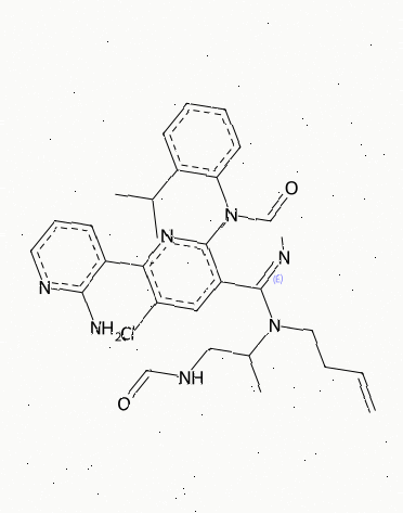 C=CCCN(/C(=N/C)c1cc(Cl)c(-c2cccnc2N)nc1N(C=O)c1ccccc1C(C)C)C(C)CNC=O